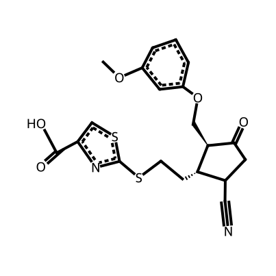 COc1cccc(OC[C@H]2C(=O)CC(C#N)[C@@H]2CCSc2nc(C(=O)O)cs2)c1